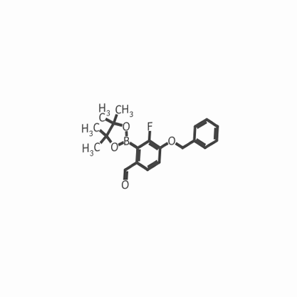 CC1(C)OB(c2c(C=O)ccc(OCc3ccccc3)c2F)OC1(C)C